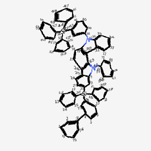 c1ccc(-c2cccc([Si](c3ccccc3)(c3ccccc3)c3ccc4c5ccc6c(c7ccccc7n6-c6cccc([Si](c7ccccc7)(c7ccccc7)c7ccccc7)c6)c5n(-c5ccccc5)c4c3)c2)cc1